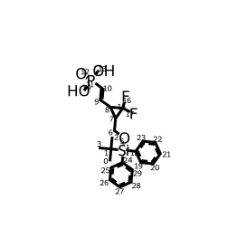 CC(C)(C)[Si](OCC1C(C=CP(=O)(O)O)C1(F)F)(c1ccccc1)c1ccccc1